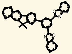 CC1(C)c2cc(-c3cc(-c4nc5ccccc5o4)cc(-c4nc5ccccc5o4)c3)ccc2-c2cc3ccccc3cc21